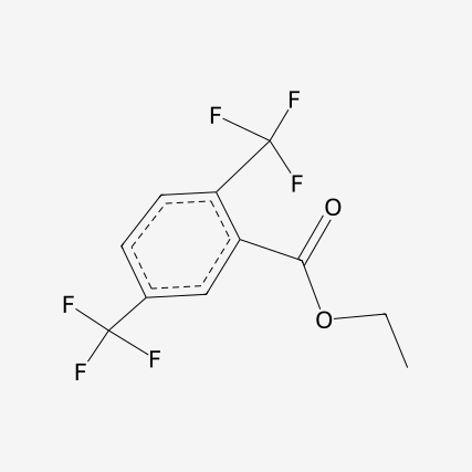 CCOC(=O)c1cc(C(F)(F)F)ccc1C(F)(F)F